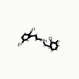 CCc1ccc(CC)c(CCNCc2cccc(C)c2Cl)c1